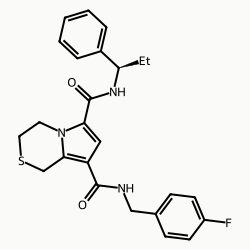 CC[C@@H](NC(=O)c1cc(C(=O)NCc2ccc(F)cc2)c2n1CCSC2)c1ccccc1